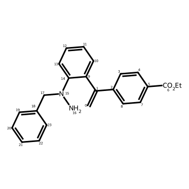 C=C(c1ccc(C(=O)OCC)cc1)c1ccccc1N(N)Cc1ccccc1